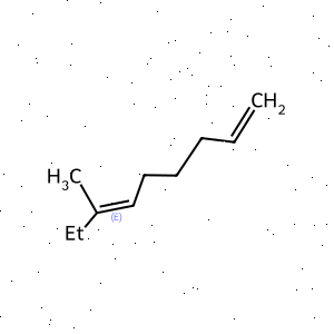 C=CCCC/C=C(\C)CC